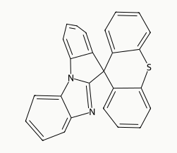 c1ccc2c(c1)Sc1ccccc1C21c2ccccc2-n2c1nc1ccccc12